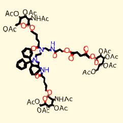 CC(=O)NC1C(OC(C)=O)[C@H](OC(C)=O)C(COC(C)=O)O[C@@H]1OCCCCC(=O)N(CCNC(=O)CCOC(=O)CCC(=O)CO[C@@H]1OC(COC(C)=O)[C@H](OC(C)=O)C(OC(C)=O)C1OC(C)=O)CCN(CCNC(=O)CCCCO[C@@H]1OC(COC(C)=O)[C@H](OC(C)=O)C(OC(C)=O)C1NC(C)=O)C(c1ccccc1)(c1ccccc1)c1ccccc1